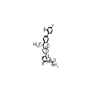 C[C@@H](c1ccc(-c2ccc(F)cc2F)cc1)N1CC[C@](CCCNC(N)=O)(c2ccc(F)cc2)OC1=O